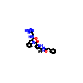 CC(C)C(NC(=O)Cc1ccccc1)c1ccc(C(=O)N2c3ccccc3C[C@H]2C(=O)NCc2nn[nH]n2)[nH]1